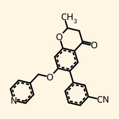 CC1CC(=O)c2cc(-c3cccc(C#N)c3)c(OCc3ccncc3)cc2O1